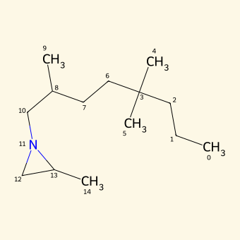 CCCC(C)(C)CCC(C)CN1CC1C